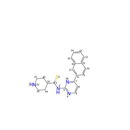 S=C(Nc1nccc(-c2ccc3ccccc3c2)n1)C1CCNCC1